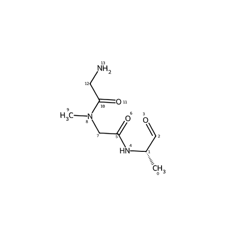 C[C@@H](C=O)NC(=O)CN(C)C(=O)CN